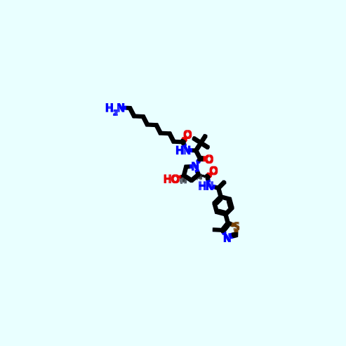 Cc1ncsc1-c1ccc(C(C)NC(=O)[C@@H]2C[C@@H](O)CN2C(=O)C(NC(=O)CCCCCCCCN)C(C)(C)C)cc1